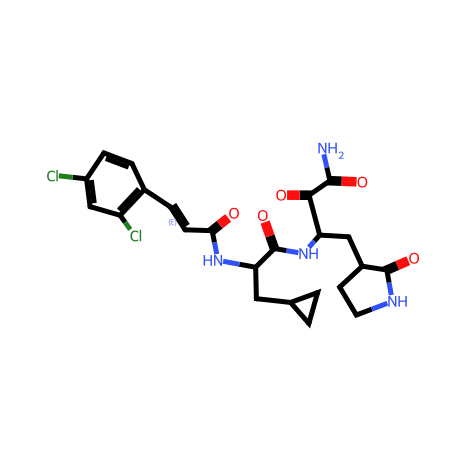 NC(=O)C(=O)C(CC1CCNC1=O)NC(=O)C(CC1CC1)NC(=O)/C=C/c1ccc(Cl)cc1Cl